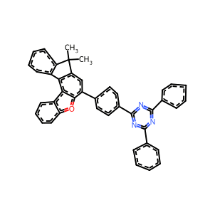 CC1(C)c2ccccc2-c2c1cc(-c1ccc(-c3nc(-c4ccccc4)nc(-c4ccccc4)n3)cc1)c1oc3ccccc3c21